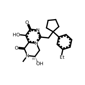 CCc1cccc(C2(Cc3nc(=O)c(O)c4n3C[C@H](O)N(C)C4=O)CCCC2)c1